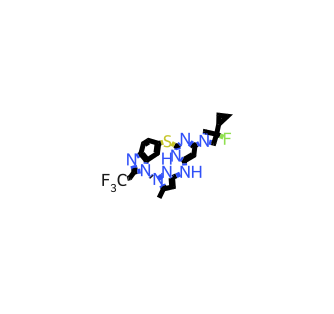 Cc1cc(Nc2cc(N3CC(F)(C4CC4)C3)nc(Sc3ccc4nc(CC(F)(F)F)n(C)c4c3)n2)[nH]n1